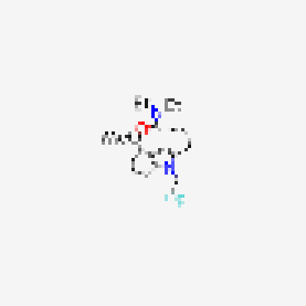 CCN(CC)C(=O)[C@@H]1CCCc2c1c1c(OC)cccc1n2CC[18F]